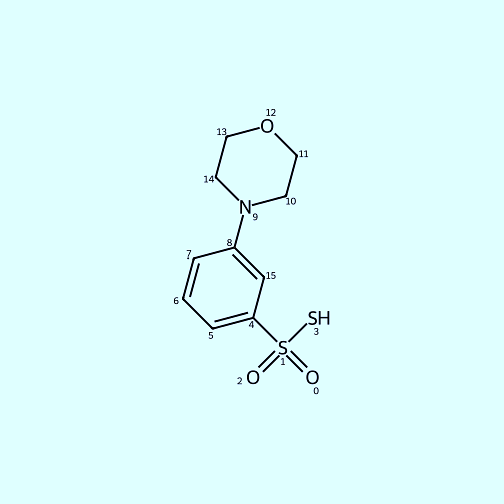 O=S(=O)(S)c1cc[c]c(N2CCOCC2)c1